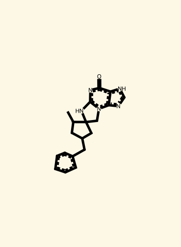 C[C]1CC(Cc2ccccc2)CC12Cn1c(nc(=O)c3[nH]cnc31)N2